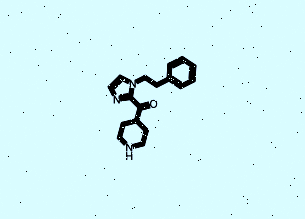 O=C(c1nccn1CCc1ccccc1)C1CCNCC1